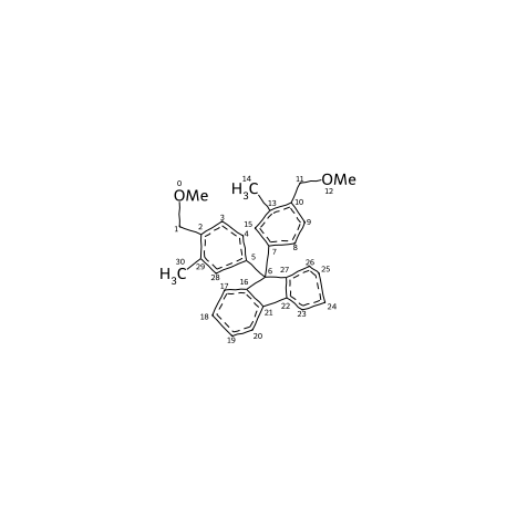 COCc1ccc(C2(c3ccc(COC)c(C)c3)c3ccccc3-c3ccccc32)cc1C